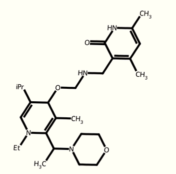 CCN1C=C(C(C)C)C(OCNCc2c(C)cc(C)[nH]c2=O)C(C)=C1C(C)N1CCOCC1